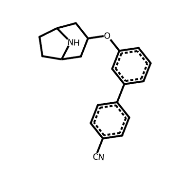 N#Cc1ccc(-c2cccc(OC3CC4CCC(C3)N4)c2)cc1